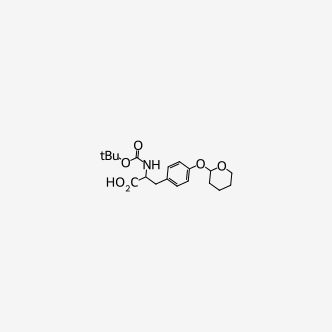 CC(C)(C)OC(=O)NC(Cc1ccc(OC2CCCCO2)cc1)C(=O)O